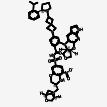 CC(C)c1ccccc1[C@@H]1CCCN1C1CC2(C1)CN(c1ccc(C(=O)NS(=O)(=O)c3cc4c(c([N+](=O)[O-])c3)N[C@@H](CN3C[C@@H]5C[C@H]3CO5)CO4)c(N3c4cc5cc[nH]c5nc4O[C@H]4COC[C@@H]43)c1)C2